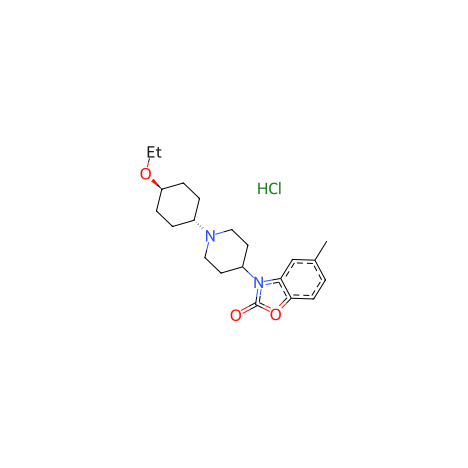 CCO[C@H]1CC[C@H](N2CCC(n3c(=O)oc4ccc(C)cc43)CC2)CC1.Cl